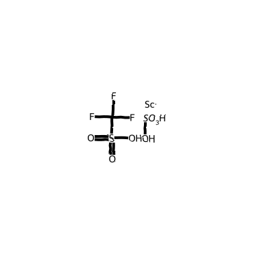 O=S(=O)(O)C(F)(F)F.O=S(=O)(O)O.[Sc]